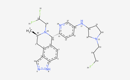 C[C@@H]1Cc2c(ccc3[nH]ncc23)[C@@H](c2ccc(NC3CCN(CCCF)C3)cn2)N1CC(F)F